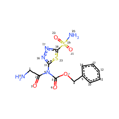 NCC(=O)N(C(=O)OCc1ccccc1)c1nnc(S(N)(=O)=O)s1